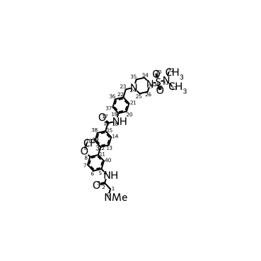 CNCC(=O)Nc1ccc(OC(F)(F)F)c(-c2ccc(C(=O)Nc3ccc(CN4CCN(S(=O)(=O)N(C)C)CC4)cc3)cc2)c1